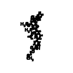 COCCOC(=O)Nc1ccc(-c2ccc3cc(-c4nc5cc(C(=O)N6CC7CCC6C7N)cc(OC)c5n4C)n(CC4CC4)c3n2)cn1